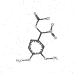 COc1ccc(C(OC(=O)Cl)[N+](=O)[O-])cc1OC